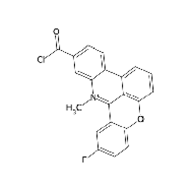 C[n+]1c2c3c(cccc3c3ccc(C(=O)Cl)cc31)Oc1ccc(F)cc1-2